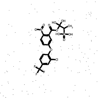 CC(C(O)(O)OC(=O)c1cc(Oc2ccc(C(F)(F)F)cc2Cl)ccc1[N+](=O)[O-])P(=O)(O)O